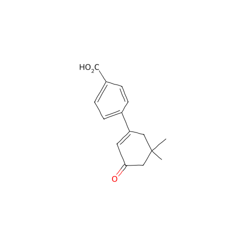 CC1(C)CC(=O)C=C(c2ccc(C(=O)O)cc2)C1